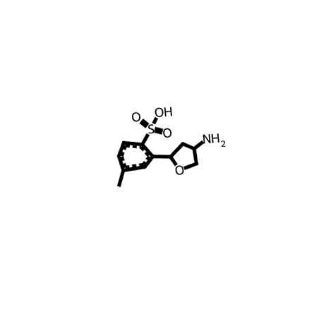 Cc1ccc(S(=O)(=O)O)c(C2CC(N)CO2)c1